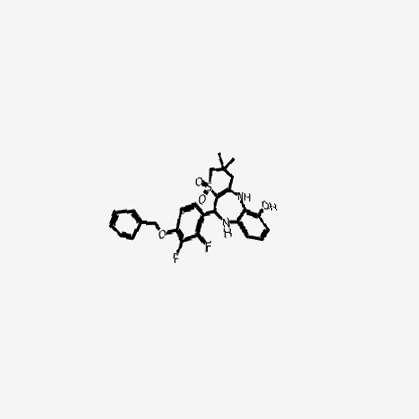 CC1(C)CC2=C(C(c3ccc(OCc4ccccc4)c(F)c3F)Nc3cccc(O)c3N2)S(=O)(=O)C1